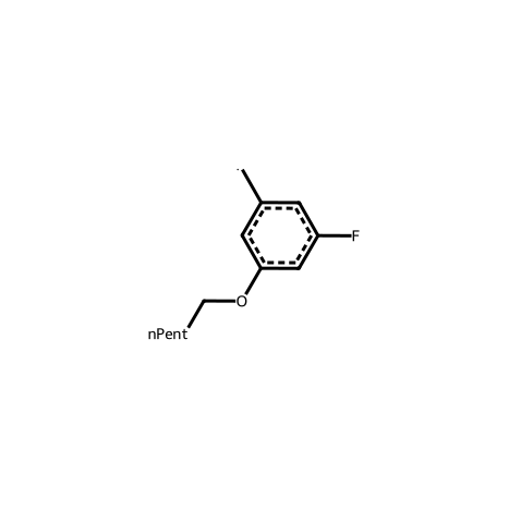 [CH2]c1cc(F)cc(OCCCCCC)c1